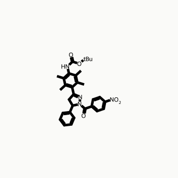 Cc1c(C)c(C2=NN(C(=O)c3ccc([N+](=O)[O-])cc3)C(c3ccccc3)C2)c(C)c(C)c1NC(=O)OC(C)(C)C